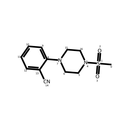 CS(=O)(=O)N1CCN(c2ccccc2C#N)CC1